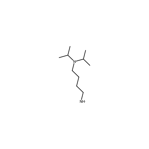 CC(C)N(CCCC[NH])C(C)C